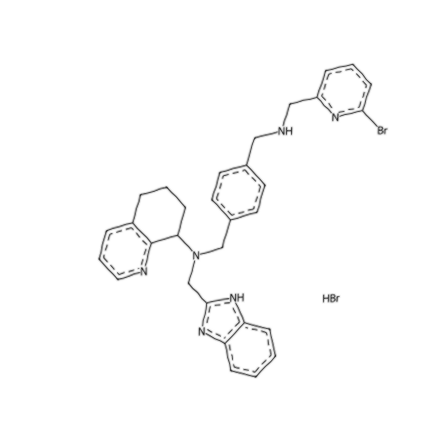 Br.Brc1cccc(CNCc2ccc(CN(Cc3nc4ccccc4[nH]3)C3CCCc4cccnc43)cc2)n1